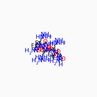 CCC(CC)N[C@H](CN(CC(=O)N[C@H](CN(CC(=O)N[C@H](CN(CC(=O)C(N)(CC)CC)C(=O)Cn1ccc2c(=O)[nH]c(N)nc21)[C@@H](C)CCCNC(=N)N)C(=O)Cn1cc(C)c(=O)[nH]c1=O)[C@@H](C)CCCNC(=N)N)C(=O)Cn1ccc(N)nc1=O)[C@@H](C)CCCNC(=N)N